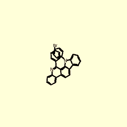 Brc1ccc(-c2nc3ccccc3c3ccc4c5ccccc5n(-c5ccccc5)c4c23)cc1